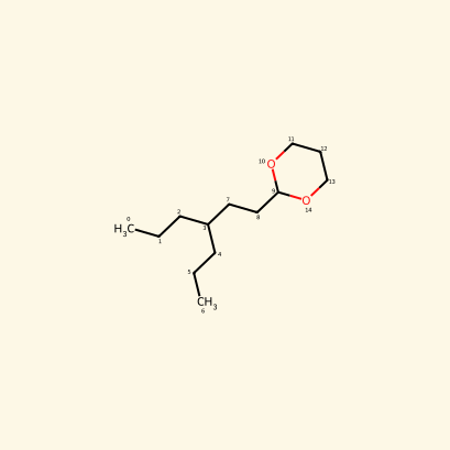 CCCC(CCC)CCC1OCCCO1